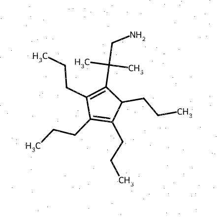 CCCC1=C(CCC)C(CCC)C(C(C)(C)CN)=C1CCC